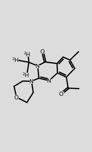 [2H]C([2H])([2H])n1c(N2CCOCC2)nc2c(C(C)=O)cc(C)cc2c1=O